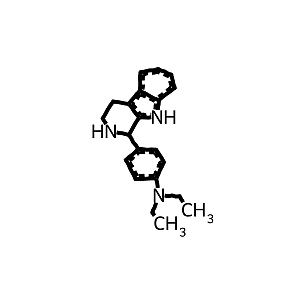 CCN(CC)c1ccc(C2NCCc3c2[nH]c2ccccc32)cc1